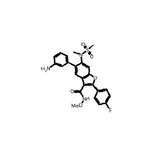 CONC(=O)c1c(-c2ccc(F)cc2)oc2cc(N(C)S(C)(=O)=O)c(-c3cccc(N)c3)cc12